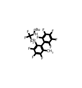 CCCCPC(F)(F)C(F)(F)F.Cc1c(F)c(F)c(F)c(C(F)(F)F)c1-c1c(F)c(F)c(F)c(F)c1F